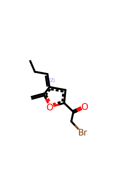 C=c1oc(C(=O)CBr)c/c1=C/CC